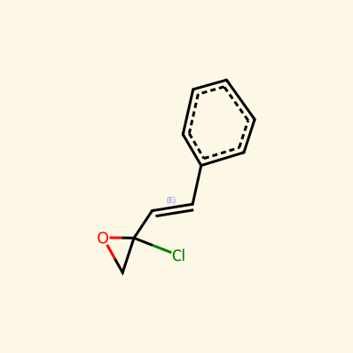 ClC1(/C=C/c2ccccc2)CO1